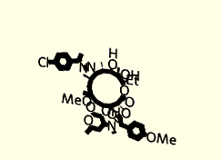 CC[C@H]1OC(=O)[C@H](C)[C@@H](OC(=O)Cc2ccc(OC)cc2)[C@H](C)[C@@H](OC2OC(C)CC(N(C)C)C2O)[C@](C)(OC)C[C@@H](C)/C(=N\N=C(/C)c2ccc(Cl)cc2)[C@H](C)[C@@H](O)[C@]1(C)O